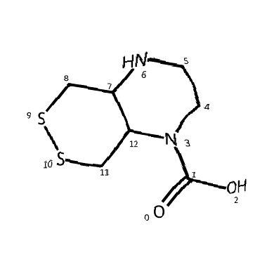 O=C(O)N1CCNC2CSSCC21